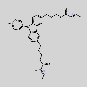 C/C=C(\C)C(=O)OCCCc1ccc2c(c1)c1cc(CCCOC(=O)/C(C)=C/C)ccc1n2-c1ccc(C)cc1